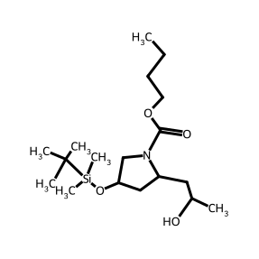 CCCCOC(=O)N1CC(O[Si](C)(C)C(C)(C)C)CC1CC(C)O